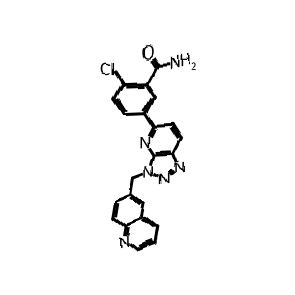 NC(=O)c1cc(-c2ccc3nnn(Cc4ccc5ncccc5c4)c3n2)ccc1Cl